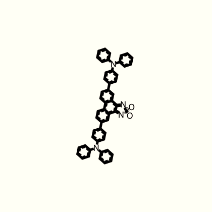 O=S1(=O)N=c2c(c3cc(-c4ccc(N(c5ccccc5)c5ccccc5)cc4)ccc3c3ccc(-c4ccc(N(c5ccccc5)c5ccccc5)cc4)cc23)=N1